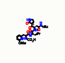 CCCCNC(=O)C[C@H](NC(=O)[C@H](CC(C)C)NC(=O)[C@H](Cc1cccc(OC)n1)NC(=O)O)C(=O)[C@@H]1CCNC1=O